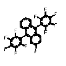 Fc1ccc2c(-c3c(F)c(F)c(F)c(F)c3F)c3ccccc3c(-c3c(F)c(F)c(F)c(F)c3F)c2c1